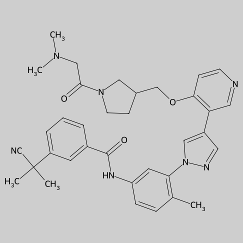 Cc1ccc(NC(=O)c2cccc(C(C)(C)C#N)c2)cc1-n1cc(-c2cnccc2OCC2CCN(C(=O)CN(C)C)C2)cn1